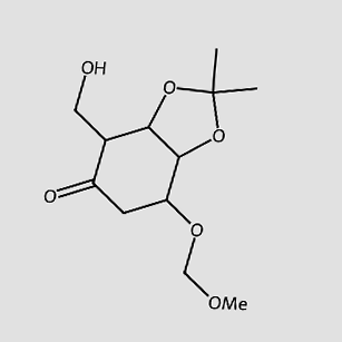 COCOC1CC(=O)C(CO)C2OC(C)(C)OC12